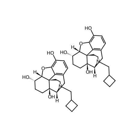 Oc1ccc2c3c1O[C@H]1[C@@H](O)CC[C@@]4(O)[C@@H](C2)N(CC2CCC2)CC[C@]314.Oc1ccc2c3c1O[C@H]1[C@@H](O)CC[C@@]4(O)[C@@H](C2)N(CC2CCC2)CC[C@]314